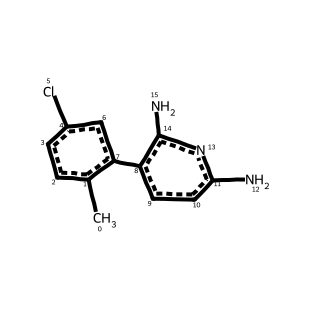 Cc1ccc(Cl)cc1-c1ccc(N)nc1N